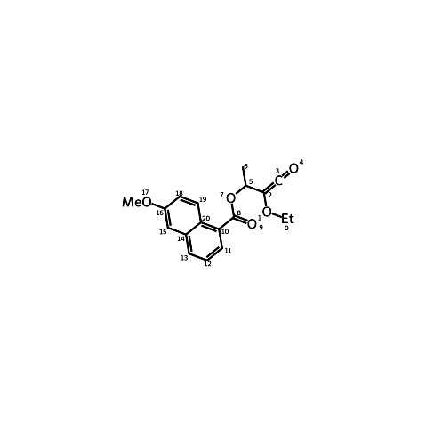 CCOC(=C=O)C(C)OC(=O)c1cccc2cc(OC)ccc12